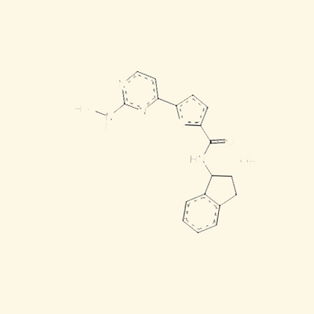 CNc1nccc(-c2ccc(C(=O)NC3c4ccccc4C[C@H]3O)s2)n1